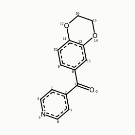 O=C(c1ccncc1)c1ccc2c(c1)OCCO2